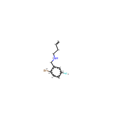 C=CCCNCc1cc(F)ccc1Br